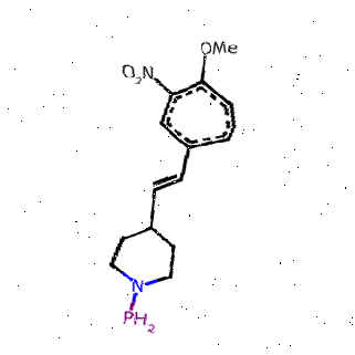 COc1ccc(C=CC2CCN(P)CC2)cc1[N+](=O)[O-]